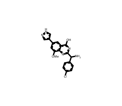 COc1cc(-c2cn[nH]c2)cc2c(O)nc(C(N)c3ccc(Cl)cc3)nc12